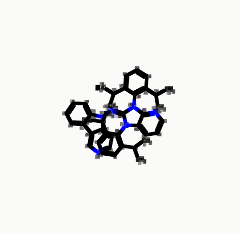 CC(C)c1cccc(C(C)C)c1-n1/c(=N\n2c3ccccc3c3cnccc32)n(-c2c(C(C)C)cccc2C(C)C)c2ncccc21